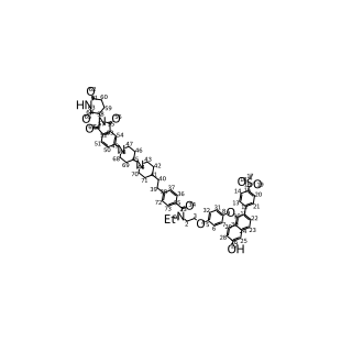 CCN(CCOc1ccc(Oc2c(-c3ccc(S(C)(=O)=O)cc3)ccc3cc(O)ccc23)cc1)C(=O)c1ccc(CCC2CCN(C3CCN(c4ccc5c(c4)C(=O)N(C4CCC(=O)NC4=O)C5=O)CC3)CC2)cc1